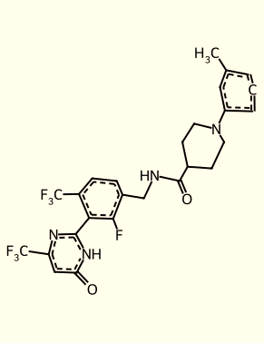 Cc1cccc(N2CCC(C(=O)NCc3ccc(C(F)(F)F)c(-c4nc(C(F)(F)F)cc(=O)[nH]4)c3F)CC2)c1